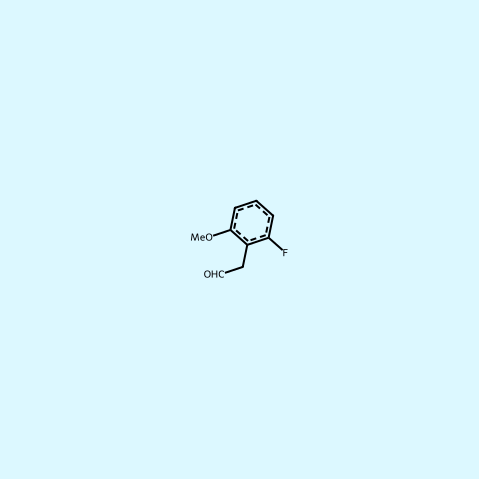 COc1cccc(F)c1CC=O